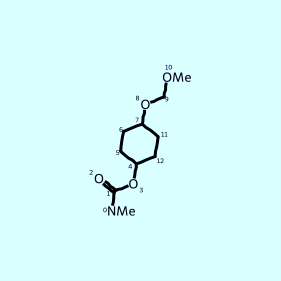 CNC(=O)OC1CCC(OCOC)CC1